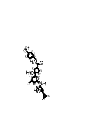 CCOc1ccc(CNC(=O)[C@H]2CC[C@](O)(c3cc(C)cc(Nc4cc(C5CC5)[nH]n4)n3)C2)cc1